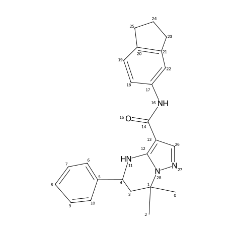 CC1(C)CC(c2ccccc2)Nc2c(C(=O)Nc3ccc4c(c3)CCC4)cnn21